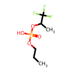 CCCOP(=O)(O)OC(C)C(F)(F)F